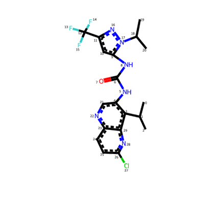 CC(C)c1c(NC(=O)Nc2cc(C(F)(F)F)nn2C(C)C)cnc2ccc(Cl)nc12